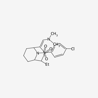 CCC1C(=O)/C(=C\N(C)C)C2CCCC1N2S(=O)(=O)c1ccc(Cl)cc1